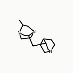 CC1CN2CCN1CC2CC1CN2CCC1CC2